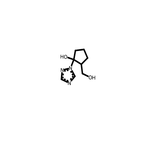 OCC1CCCC1(O)n1cncn1